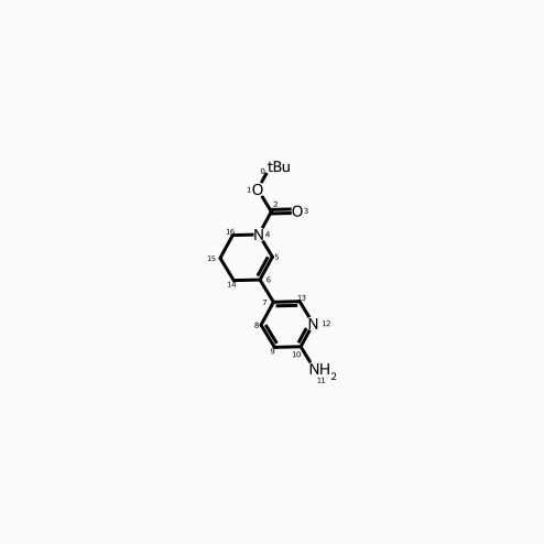 CC(C)(C)OC(=O)N1C=C(c2ccc(N)nc2)CCC1